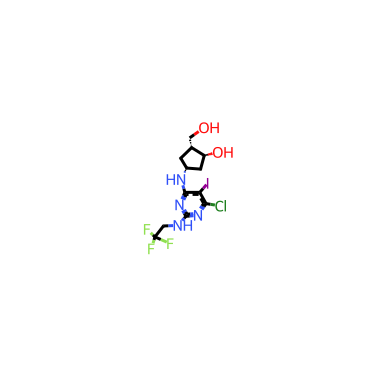 OC[C@H]1C[C@@H](Nc2nc(NCC(F)(F)F)nc(Cl)c2I)C[C@@H]1O